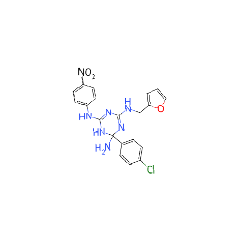 NC1(c2ccc(Cl)cc2)N=C(NCc2ccco2)N=C(Nc2ccc([N+](=O)[O-])cc2)N1